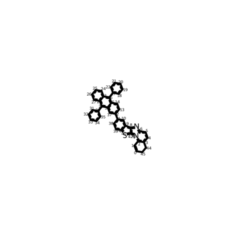 C1=Cc2c(ccc3nc4c5cc(-c6ccc7c(-c8ccccc8)c8ccccc8c(-c8ccccc8)c7c6)ccc5sc4n23)CC1